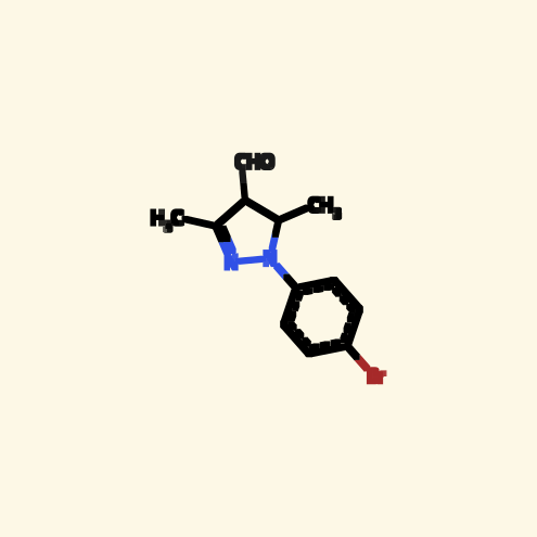 CC1=NN(c2ccc(Br)cc2)C(C)C1C=O